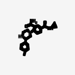 Cc1ccc(C2CN(c3ccc(C(=O)NC4CC4)cc3C(N)=O)CCN2)cc1